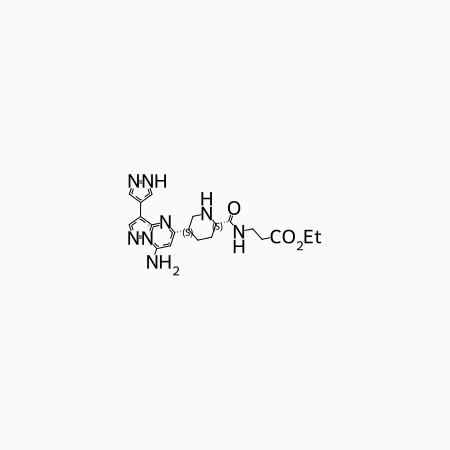 CCOC(=O)CCNC(=O)[C@@H]1CC[C@H](c2cc(N)n3ncc(-c4cn[nH]c4)c3n2)CN1